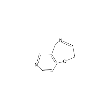 C1=NCc2cnccc2OC1